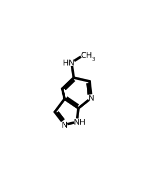 CNc1cnc2[nH]ncc2c1